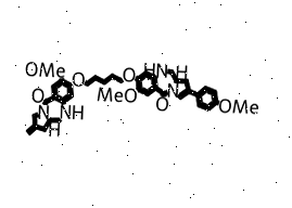 C=C1C[C@H]2CNc3cc(OCCCCCOc4cc5c(cc4OC)C(=O)N4C=C(c6ccc(OC)cc6)C[C@H]4CN5)c(OC)cc3C(=O)N2C1